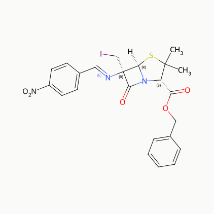 CC1(C)S[C@H]2N(C(=O)[C@@]2(CI)/N=C/c2ccc([N+](=O)[O-])cc2)[C@H]1C(=O)OCc1ccccc1